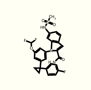 CS(=O)(=O)Nc1ccc2cc(C(N)=O)n(-c3cc(OC(F)F)cc(C4(c5ccc(F)cc5)CC4)c3)c2c1